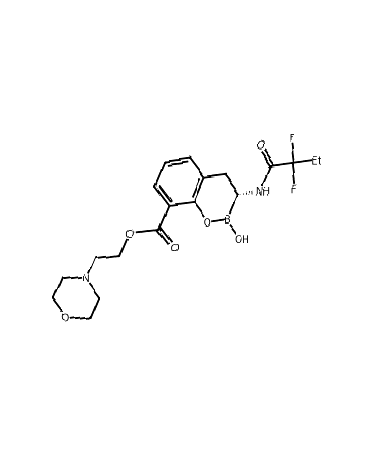 CCC(F)(F)C(=O)N[C@H]1Cc2cccc(C(=O)OCCN3CCOCC3)c2OB1O